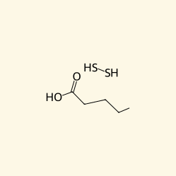 CCCCC(=O)O.SS